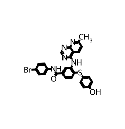 Cc1ccc2c(Nc3cc(C(=O)Nc4ccc(Br)cc4)ccc3Sc3ccc(O)cc3)ncnc2n1